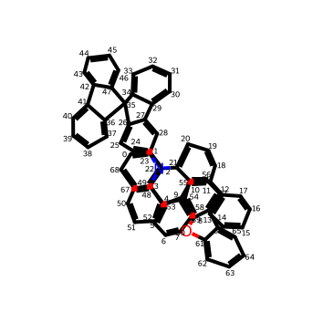 c1ccc(-c2ccccc2-c2c(-c3ccccc3)cccc2N(c2ccc3c(c2)-c2ccccc2C32c3ccccc3-c3ccccc32)c2ccccc2-c2cccc3c2oc2ccccc23)cc1